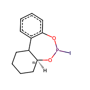 IP1Oc2ccccc2C2CCCC[C@@H]2O1